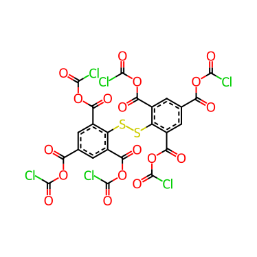 O=C(Cl)OC(=O)c1cc(C(=O)OC(=O)Cl)c(SSc2c(C(=O)OC(=O)Cl)cc(C(=O)OC(=O)Cl)cc2C(=O)OC(=O)Cl)c(C(=O)OC(=O)Cl)c1